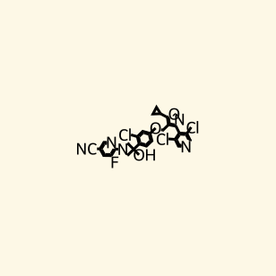 N#Cc1cnc(N2CC(O)(c3ccc(OCc4c(-c5c(Cl)cncc5Cl)noc4C4CC4)cc3Cl)C2)c(F)c1